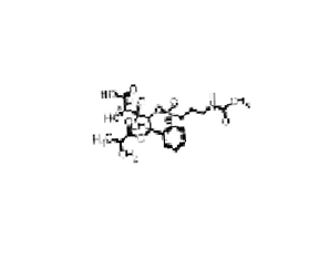 CC(=O)NCCCS(=O)(=O)OC(C(OC(=O)C(C)C)c1ccccc1)C(C)(C)[C@@H](O)C(=O)O